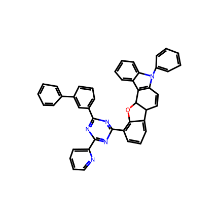 C1=CC2c3cccc(-c4nc(-c5cccc(-c6ccccc6)c5)nc(-c5ccccn5)n4)c3OC2c2c1n(-c1ccccc1)c1ccccc21